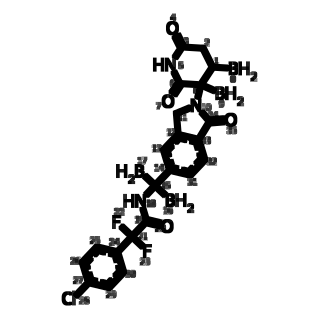 BC1CC(=O)NC(=O)C1(B)N1Cc2cc(C(B)(B)NC(=O)C(F)(F)c3ccc(Cl)cc3)ccc2C1=O